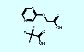 O=C(O)C(F)(F)F.O=C(O)COc1cnccn1